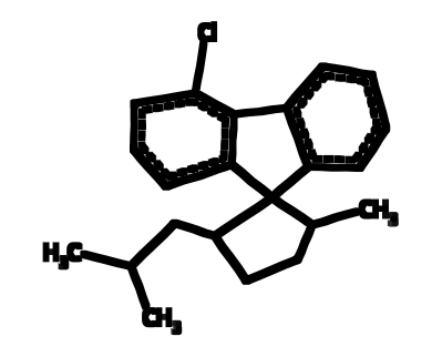 CC(C)CC1CCC(C)C12c1ccccc1-c1c(Cl)cccc12